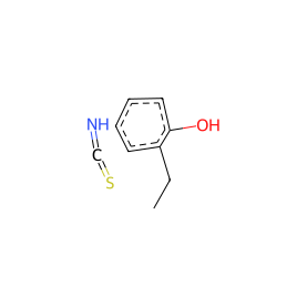 CCc1ccccc1O.N=C=S